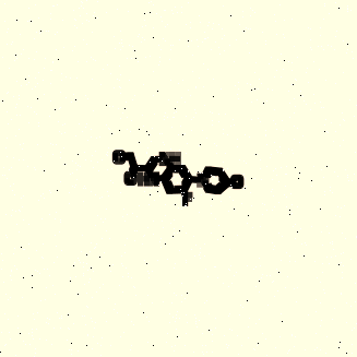 O=CC(=O)C1=CNc2cc(-n3ccc(=O)cc3)c(F)cc2N1